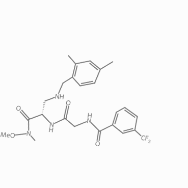 CON(C)C(=O)[C@H](CNCc1ccc(C)cc1C)NC(=O)CNC(=O)c1cccc(C(F)(F)F)c1